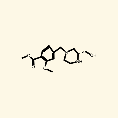 COC(=O)c1ccc(CN2CCN[C@@H](CO)C2)cc1OC